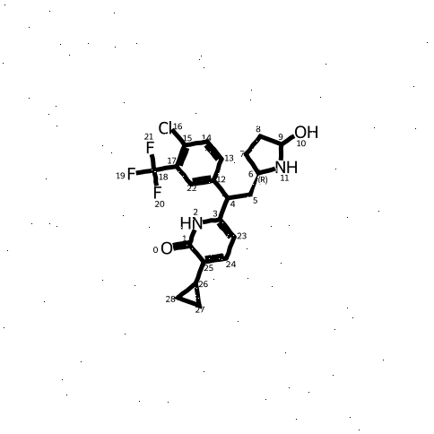 O=c1[nH]c(C(C[C@H]2CCC(O)N2)c2ccc(Cl)c(C(F)(F)F)c2)ccc1C1CC1